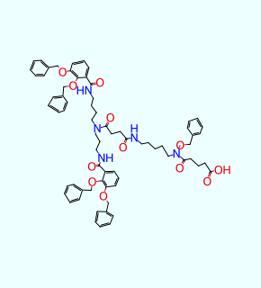 O=C(O)CCCC(=O)N(CCCCCNC(=O)CCC(=O)N(CCCCNC(=O)c1cccc(OCc2ccccc2)c1OCc1ccccc1)CCCNC(=O)c1cccc(OCc2ccccc2)c1OCc1ccccc1)OCc1ccccc1